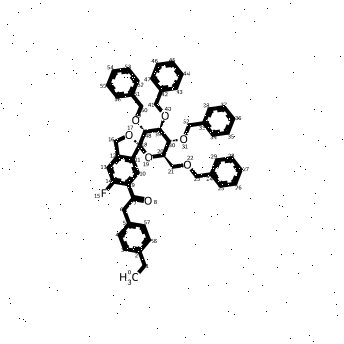 CCc1ccc(CC(=O)c2cc3c(cc2F)CO[C@]32O[C@H](COCc3ccccc3)[C@@H](OCc3ccccc3)[C@H](OCc3ccccc3)[C@H]2OCc2ccccc2)cc1